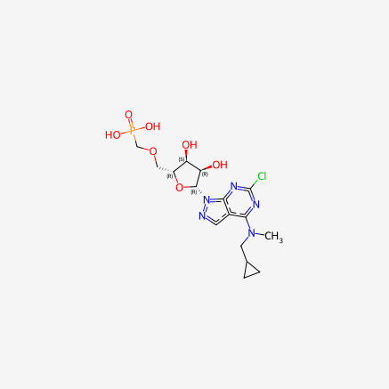 CN(CC1CC1)c1nc(Cl)nc2c1cnn2[C@@H]1O[C@H](COCP(=O)(O)O)[C@@H](O)[C@H]1O